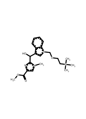 COC(=O)c1cn(C)c(C(O)c2cn(COCC[Si](C)(C)C)c3ccccc23)n1